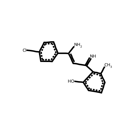 Cc1cccc(O)c1C(=N)/C=C(\N)c1ccc(Cl)cc1